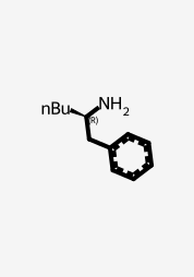 CCCC[C@@H](N)Cc1ccccc1